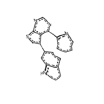 c1ccc(-c2ncnc3scc(-c4ccc5cc[nH]c5c4)c23)nc1